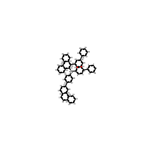 c1ccc(-c2ccc(N(c3ccc(-c4ccc5ccc6ccccc6c5c4)cc3)c3c(-c4cccc(-c5ccccc5)c4)c4ccccc4c4ccccc34)cc2)cc1